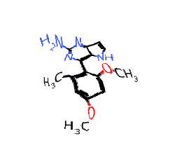 COc1cc(C)c(-c2nc(N)nc3cc[nH]c23)c(OC)c1